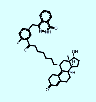 C[C@]12C[C@H](CCCCCCC(=O)c3cc(Cc4n[nH]c(=O)c5ccccc45)ccc3F)C3=C4CCC(=O)C=C4CC[C@H]3[C@@H]1CC[C@@H]2O